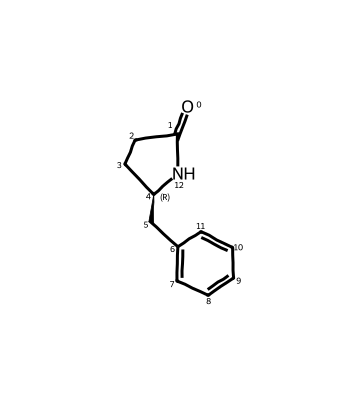 O=C1CC[C@H](Cc2ccccc2)N1